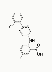 Cc1ccc(Nc2cnc(-c3ccccc3Cl)nc2)c(C(=O)O)c1